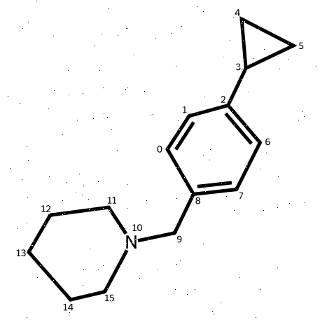 c1cc(C2CC2)ccc1CN1CCCCC1